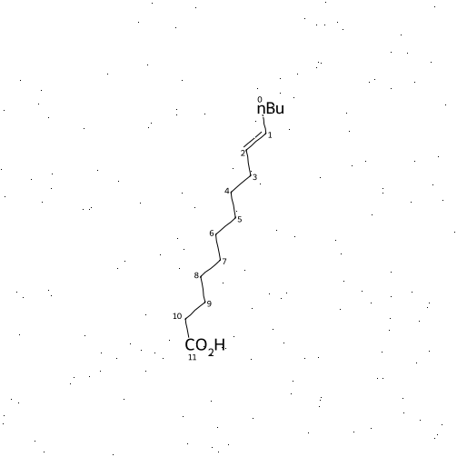 CCCCC=CCCCCCCCCC(=O)O